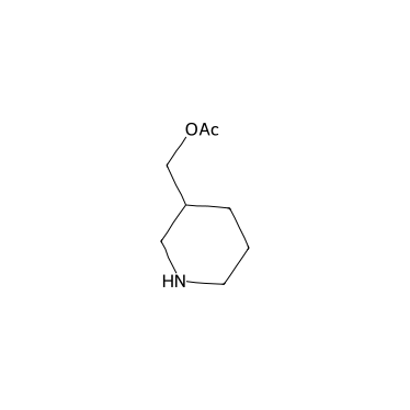 CC(=O)OCC1CCCNC1